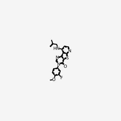 C=C(C)CNc1ccnc2sc3c(=O)n(-c4ccc(OC)c(F)c4)cnc3c12